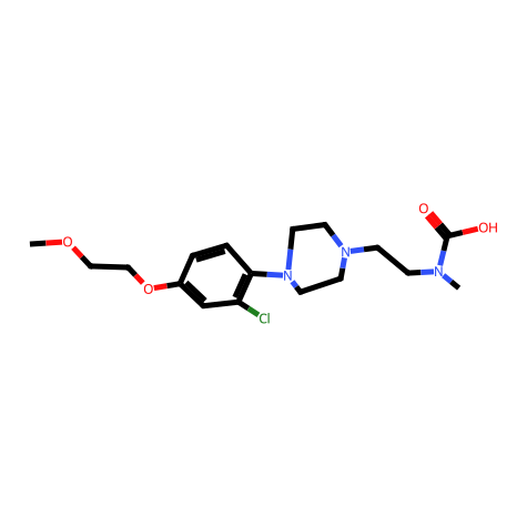 COCCOc1ccc(N2CCN(CCN(C)C(=O)O)CC2)c(Cl)c1